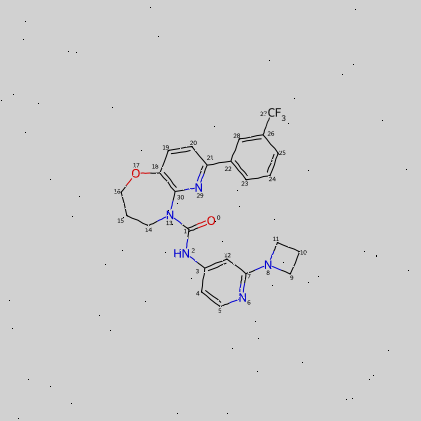 O=C(Nc1ccnc(N2CCC2)c1)N1CCCOc2ccc(-c3cccc(C(F)(F)F)c3)nc21